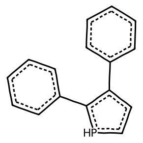 c1ccc(-c2cc[pH]c2-c2ccccc2)cc1